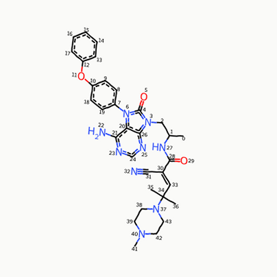 CC(Cn1c(=O)n(-c2ccc(Oc3ccccc3)cc2)c2c(N)ncnc21)NC(=O)C(C#N)=CC(C)(C)N1CCN(C)CC1